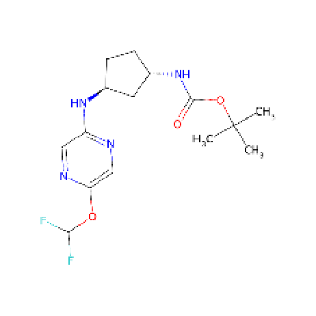 CC(C)(C)OC(=O)N[C@H]1CC[C@H](Nc2cnc(OC(F)F)cn2)C1